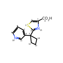 O=C(O)c1csc(C2(c3cccnc3)CCC2)n1